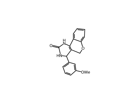 COc1cccc(C2NC(=O)NC3=C2COc2ccccc23)c1